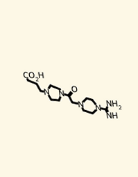 N=C(N)N1CCN(CC(=O)N2CCN(CCCC(=O)O)CC2)CC1